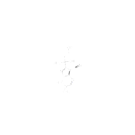 CCCC(C)(C)c1nsc(/N=C\N(C)C)c1C#N